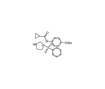 COc1ccc(N(C(=O)C2CC2)[C@]2(S(=O)(=O)c3ccccc3)CCNC2)cc1